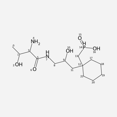 CC(O)C(N)C(=O)NCC(O)CC1(C[PH](=O)O)CCCCC1